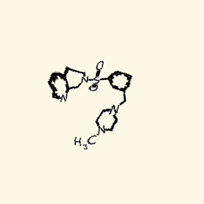 CN1CCN(Cc2cccc(S(=O)(=O)N3CCc4cccnc4C3)c2)CC1